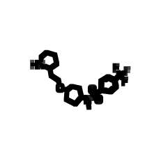 CN(C1CCC(OCCC2CCCCN2)CC1)S(=O)(=O)c1ccc(C(F)(F)F)cc1